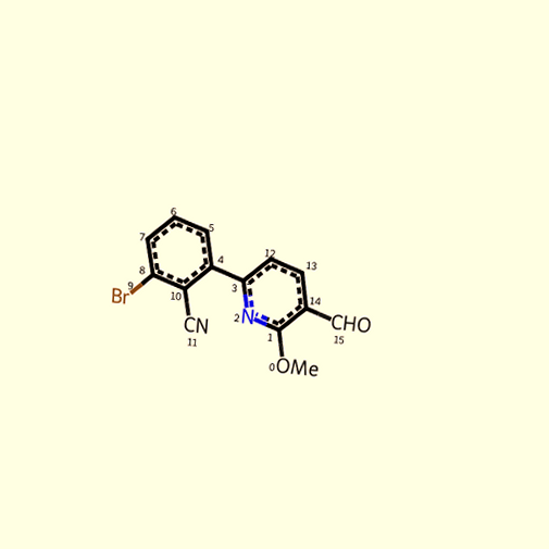 COc1nc(-c2cccc(Br)c2C#N)ccc1C=O